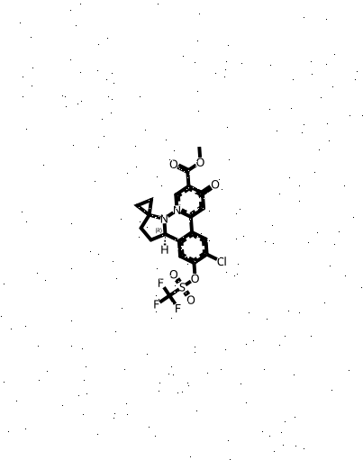 COC(=O)c1cn2c(cc1=O)-c1cc(Cl)c(OS(=O)(=O)C(F)(F)F)cc1[C@H]1CCC3(CC3)N12